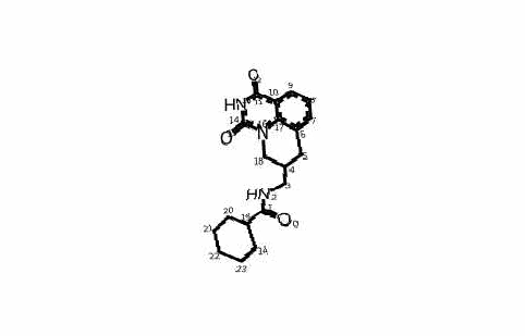 O=C(NCC1Cc2cccc3c(=O)[nH]c(=O)n(c23)C1)C1CCCCC1